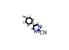 C[C@H]1CC[C@H](c2cnc(C#N)nc2)CC1